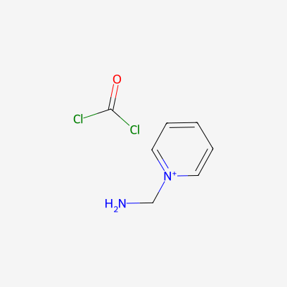 NC[n+]1ccccc1.O=C(Cl)Cl